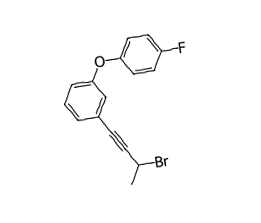 CC(Br)C#Cc1cccc(Oc2ccc(F)cc2)c1